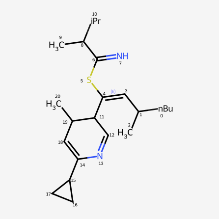 CCCCC(C)/C=C(/SC(=N)C(C)C(C)C)C1C=NC(C2CC2)=CC1C